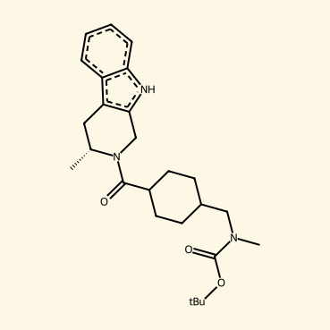 C[C@@H]1Cc2c([nH]c3ccccc23)CN1C(=O)C1CCC(CN(C)C(=O)OC(C)(C)C)CC1